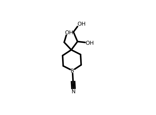 N#CB1CCC(CO)(C(O)CO)CC1